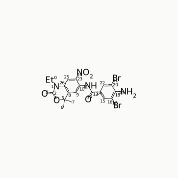 CCN1C(=O)OC(C)(C)c2cc(NC(=O)c3cc(Br)c(N)c(Br)c3)c([N+](=O)[O-])cc21